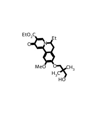 CCOC(=O)c1cn2c(cc1=O)-c1cc(OC)c(OCC(C)(C)CO)cc1CC2CC